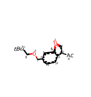 CC(=O)c1coc2cc(COCC(C)(C)C)ccc12